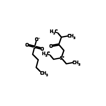 CCCCS(=O)(=O)[O-].CC[S+](CC)CC(=O)C(C)C